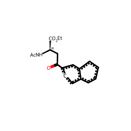 CCOC(=O)[C@@H](CC(=O)c1ccc2ccccc2c1)NC(C)=O